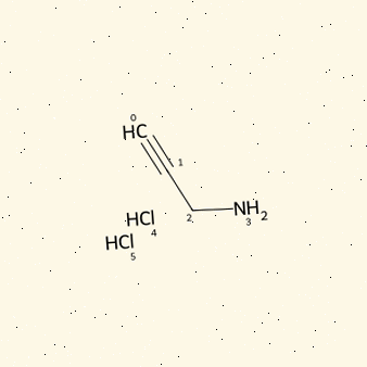 C#CCN.Cl.Cl